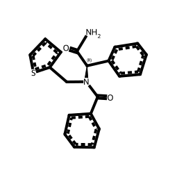 NC(=O)[C@@H](c1ccccc1)N(Cc1cccs1)C(=O)c1ccccc1